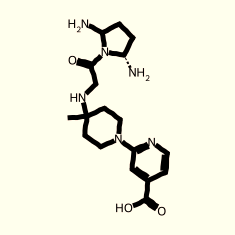 CC1(NCC(=O)N2C(N)CC[C@@H]2N)CCN(c2cc(C(=O)O)ccn2)CC1